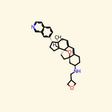 C[C@]12CC=C3C=C4CC[C@@H](NCC5COC5)C[C@]45CC[C@]3(O5)[C@@H]1CC[C@@H]2c1ccc2ccncc2c1